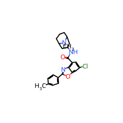 Cc1ccc(-c2nc3c(C(=O)NC4CC5CCCC(C4)N5C)cc(Cl)cc3o2)cc1